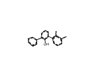 Cc1cccc(-c2cccc(-c3ccccc3)c2O)c1C